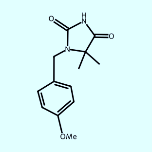 COc1ccc(CN2C(=O)NC(=O)C2(C)C)cc1